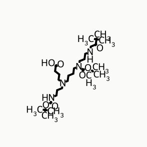 CC(C)(C)OC(=O)NCCCN(CCCCN(CCCNCC(=O)C(C)(C)C)C(=O)OC(C)(C)C)CCCC(=O)O